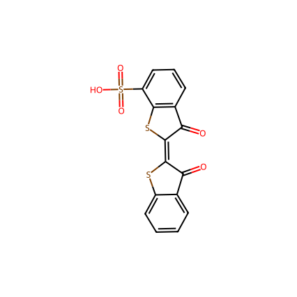 O=C1C(=C2Sc3c(cccc3S(=O)(=O)O)C2=O)Sc2ccccc21